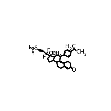 C=C(C)c1ccc(C2C[C@@]3(C)C(CC[C@@]3(O)C(F)(F)C#CSP(I)I)C3CCC4=CC(=O)CCC4=C23)cc1